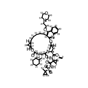 C=C[C@@H]1C[C@]1(NC(=O)[C@@H]1C[C@@H]2CN1C(=O)[C@H](CC1CCCCC1)NC(=O)O[C@@H]1C[C@H]1CCCCCc1c(nc3ccccc3c1OCCN1CCOCC1)O2)C(=O)NS(=O)(=O)C1(C)CC1